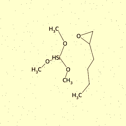 CCCCC1CO1.CO[SiH](OC)OC